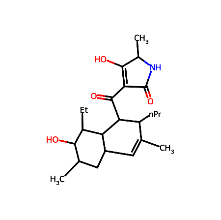 CCCC1C(C)=CC2CC(C)C(O)C(CC)C2C1C(=O)C1=C(O)C(C)NC1=O